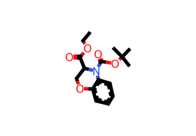 CCOC(=O)C1COc2ccccc2N1C(=O)OC(C)(C)C